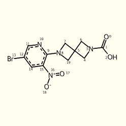 O=C(O)N1CC2(C1)CN(c1ncc(Br)cc1[N+](=O)[O-])C2